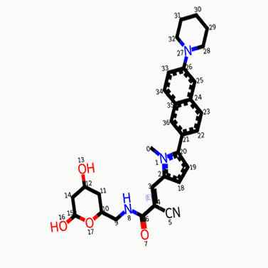 Cn1c(/C=C(\C#N)C(=O)NCC2CC(O)CC(O)O2)ccc1-c1ccc2cc(N3CCCCC3)ccc2c1